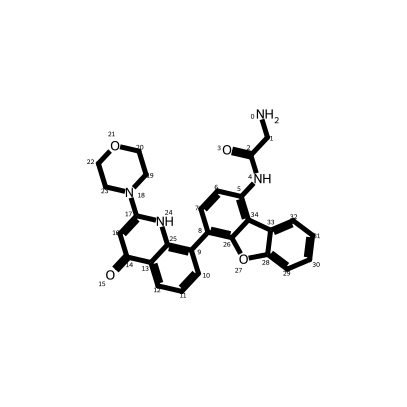 NCC(=O)Nc1ccc(-c2cccc3c(=O)cc(N4CCOCC4)[nH]c23)c2oc3ccccc3c12